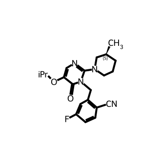 CC(C)Oc1cnc(N2CCC[C@H](C)C2)n(Cc2cc(F)ccc2C#N)c1=O